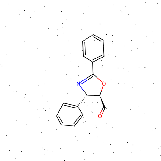 O=[C][C@@H]1OC(c2ccccc2)=N[C@H]1c1ccccc1